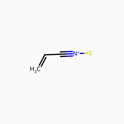 C=CC#[N+][S-]